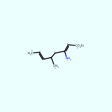 C/C=C/C(C)C/C(N)=C/C(=O)OCC